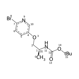 C[C@@H](COc1ccc(Br)nc1)NC(=O)OC(C)(C)C